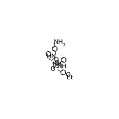 CCOc1ccc(C[C@@H](NC(=O)c2ccccc2)C(=O)NC[C@H](Cc2ccccc2)C(=O)NCc2ccc(CN)cc2)cc1